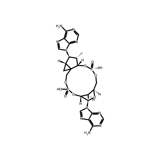 C[C@H]1[C@H]2OP(=O)(O)OCC34C[C@@H]3[C@@H](n3cnc5c(N)ncnc53)[C@H](C)[C@@H]4O[P@](=O)(S)OC[C@H]1O[C@H]2n1cnc2c(N)ncnc21